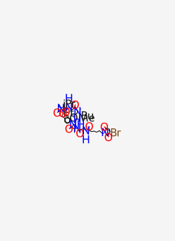 CCC(OC)C([C@H](C)CC)N(C)C(=O)CNC(=O)C(C(C)C)N(C)C(=O)OCc1ccc(NC(=O)C(C)NC(=O)CNC(=O)CCCCCN2C(=O)C=C(Br)C2=O)cc1